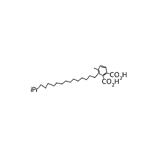 Cc1ccc(C(=O)O)c(C(=O)O)c1CCCCCCCCCCCCCCC(C)C